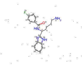 NCCCCC(NC(=O)c1ccc(F)cc1)c1nc2ccccc2[nH]1